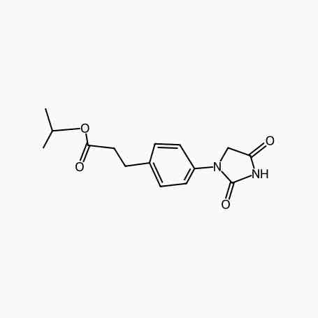 CC(C)OC(=O)CCc1ccc(N2CC(=O)NC2=O)cc1